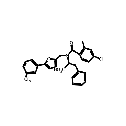 Cc1cc(Cl)ccc1C(=O)N(Cc1ccc(-c2cccc(C(F)(F)F)c2)o1)C(Cc1ccccc1)C(=O)O